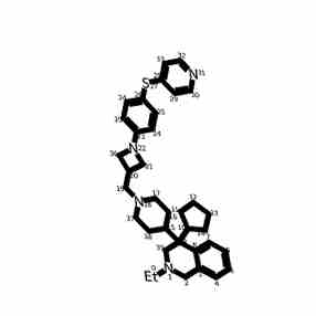 CCN1Cc2ccccc2C(C2CCCC2)(C2CCN(CC3CN(c4ccc(Sc5ccncc5)cc4)C3)CC2)C1